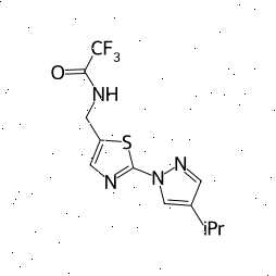 CC(C)c1cnn(-c2ncc(CNC(=O)C(F)(F)F)s2)c1